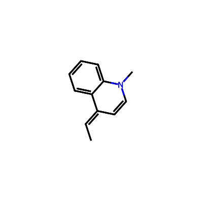 C/C=C1\C=CN(C)c2ccccc21